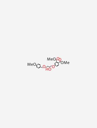 COC(=O)c1ccc(OCC(O)CCOCc2ccc(OC)cc2)cc1C(=O)OC